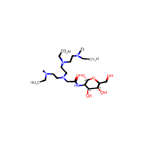 CCN(CCN(CCN(CCN(C)CC(=O)O)CC(=O)NC1[C@H](O)OC(CO)[C@@H](O)[C@H]1O)CC(=O)O)CC(=O)O